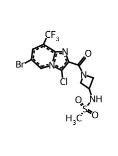 CS(=O)(=O)NC1CN(C(=O)c2nc3c(C(F)(F)F)cc(Br)cn3c2Cl)C1